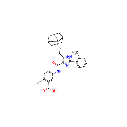 Cc1ccccc1-c1nc(C(=O)Nc2ccc(Br)c(C(=O)O)c2)c(CCC23CC4CC(CC(C4)C2)C3)[nH]1